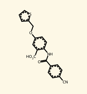 N#Cc1ccc(C(=O)Nc2ccc(OCc3cccs3)cc2C(=O)O)cc1